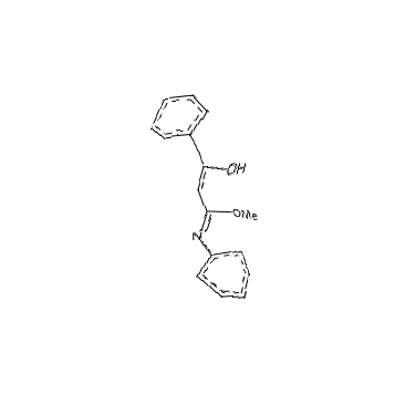 COC(/C=C(\O)c1ccccc1)=N\c1ccccc1